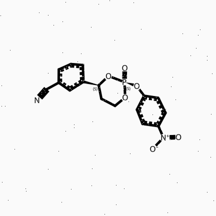 N#Cc1cccc([C@@H]2CCO[P@](=O)(Oc3ccc([N+](=O)[O-])cc3)O2)c1